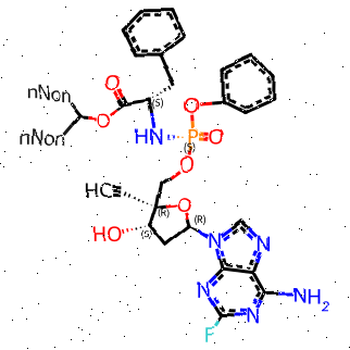 C#C[C@]1(CO[P@@](=O)(N[C@@H](Cc2ccccc2)C(=O)OC(CCCCCCCCC)CCCCCCCCC)Oc2ccccc2)O[C@@H](n2cnc3c(N)nc(F)nc32)C[C@@H]1O